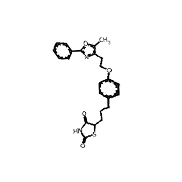 Cc1oc(-c2ccccc2)nc1CCOc1ccc(CCCC2SC(=O)NC2=O)cc1